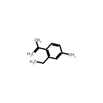 C=C(C)c1ccc(C)cc1CC